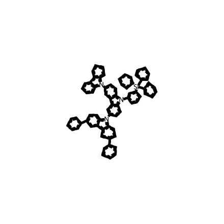 c1ccc(-c2ccc3c(c2)c2cc(-c4ccccc4)ccc2n3-c2ccc3c(c2)c2cc(-n4c5ccccc5c5ccccc54)ccc2n3-c2cccc([Si](c3ccccc3)(c3ccccc3)c3ccccc3)c2)cc1